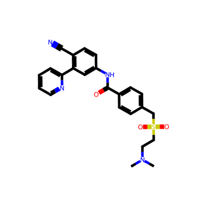 CN(C)CCS(=O)(=O)Cc1ccc(C(=O)Nc2ccc(C#N)c(-c3ccccn3)c2)cc1